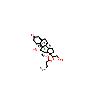 CCCC(=O)O[C@@]1(C(=O)CO)CC[C@H]2[C@@H]3CCC4=CC(=O)CC[C@]4(C)[C@@]3(F)[C@@H](O)C[C@@]21C